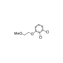 COCCOc1cc[c]c(Cl)c1Cl